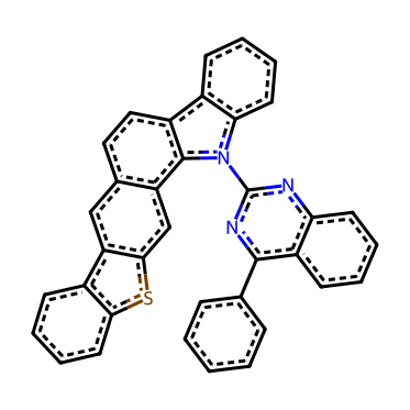 c1ccc(-c2nc(-n3c4ccccc4c4ccc5cc6c(cc5c43)sc3ccccc36)nc3ccccc23)cc1